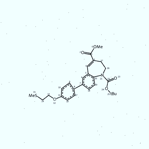 COC(=O)C1=Cc2cc(-c3ccc(OCCSC)cc3)ccc2N(C(=O)OC(C)(C)C)CC1